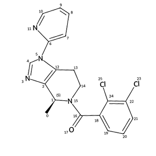 C[C@H]1c2ncn(-c3ccccn3)c2CCN1C(=O)c1cccc(Cl)c1Cl